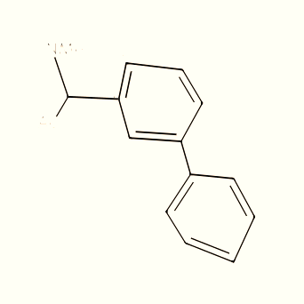 CNC(C(C)=O)c1cccc(-c2ccccc2)c1